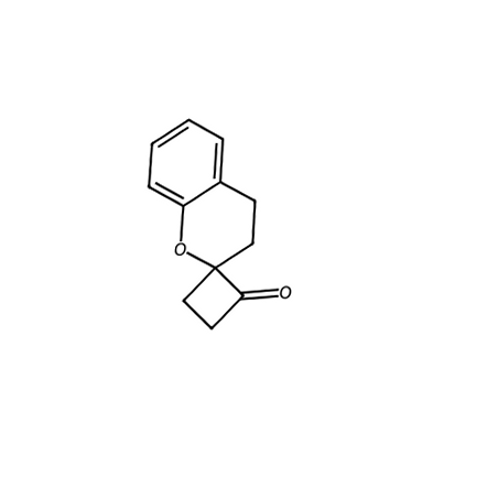 O=C1CCC12CCc1ccccc1O2